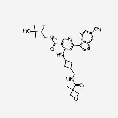 CC1(C(=O)NCC2CC(Nc3cc(-c4ccc5cc(C#N)cnn45)ncc3C(=O)NCC(F)C(C)(C)O)C2)COC1